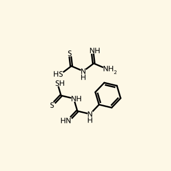 N=C(N)NC(=S)S.N=C(NC(=S)S)Nc1ccccc1